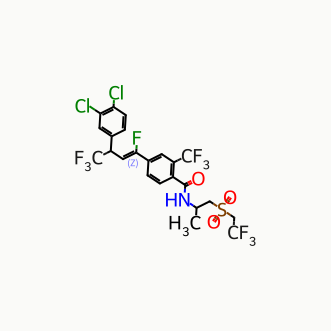 CC(CS(=O)(=O)CC(F)(F)F)NC(=O)c1ccc(/C(F)=C/C(c2ccc(Cl)c(Cl)c2)C(F)(F)F)cc1C(F)(F)F